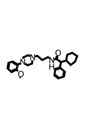 COc1ccccc1N1CCN(CCCNC(=O)C(c2ccccc2)C2CCCCC2)CC1